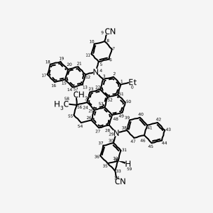 CCc1cc(N(C2=CCC(C#N)C=C2)c2ccc3ccccc3c2)c2cc3c4c(cc(N(C5=C[C@@H]6C(C#N)C6C=C5)C5=CC=C6C=CC=CC6C5)c5ccc1c2c54)CCC3(C)C